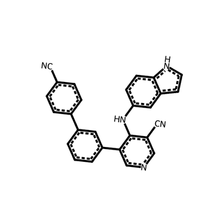 N#Cc1ccc(-c2cccc(-c3cncc(C#N)c3Nc3ccc4[nH]ccc4c3)c2)cc1